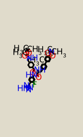 Cc1cc(S(=O)(=O)N(C)C)ccc1-c1ccc(C[C@H](NC(=O)C2CCC(CNC(=O)OC(C)(C)C)CC2)C(=O)Nc2ccc(-c3nn[nH]n3)c(F)c2)cc1